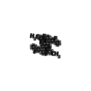 Cc1ccc(N(c2cc(-c3ccc(-c4ccccc4)c(F)c3)ccc2F)c2cc3cccc4c(N(c5ccc(C)cc5F)c5cc(-c6ccc(-c7ccccc7)c(F)c6)ccc5F)cc5cccc2c5c34)c(F)c1